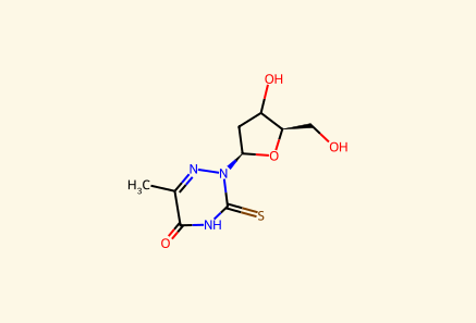 Cc1nn([C@H]2CC(O)[C@@H](CO)O2)c(=S)[nH]c1=O